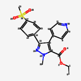 CCOC(=O)c1c(-c2ccncc2)c(-c2ccc(S(C)(=O)=O)cc2)nn1C